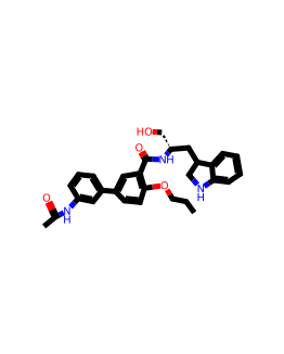 CCCOc1ccc(-c2cccc(NC(C)=O)c2)cc1C(=O)N[C@H](CO)CC1CNc2ccccc21